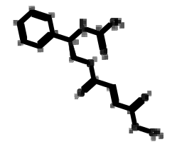 COC(=O)/C=C/C(=O)OC[C@H](NC(C)=O)c1ccccc1